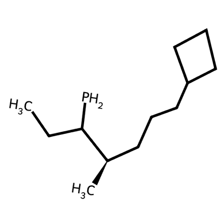 CCC(P)[C@H](C)CCCC1CCC1